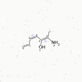 C=C/C=C\C(O)=C(/C)N